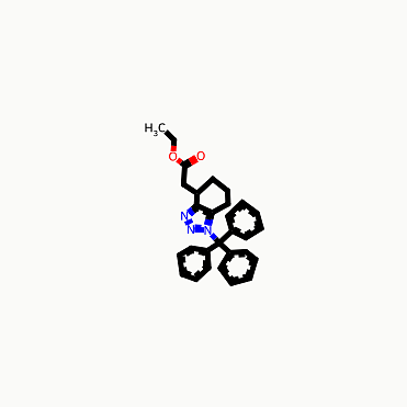 CCOC(=O)CC1CCCc2c1nnn2C(c1ccccc1)(c1ccccc1)c1ccccc1